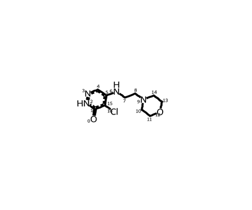 O=c1[nH]ncc(NCCN2CCOCC2)c1Cl